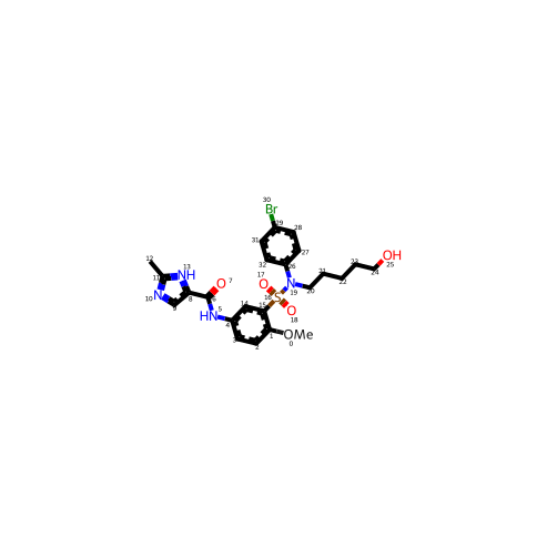 COc1ccc(NC(=O)c2cnc(C)[nH]2)cc1S(=O)(=O)N(CCCCCO)c1ccc(Br)cc1